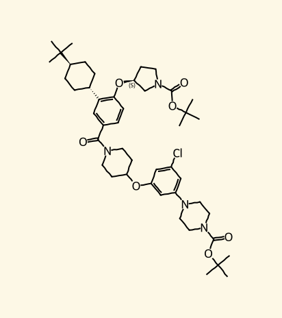 CC(C)(C)OC(=O)N1CCN(c2cc(Cl)cc(OC3CCN(C(=O)c4ccc(O[C@H]5CCN(C(=O)OC(C)(C)C)C5)c([C@H]5CC[C@H](C(C)(C)C)CC5)c4)CC3)c2)CC1